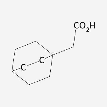 O=C(O)CC12CCC(CC1)CC2